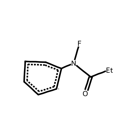 CCC(=O)N(F)c1[c]cccc1